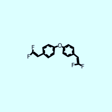 FC(F)=Cc1ccc(Oc2ccc(C=C(F)F)cc2)cc1